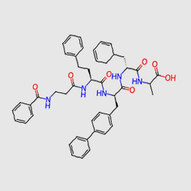 CC(NC(=O)[C@@H](CC1C=CC=CC1)NC(=O)[C@@H](Cc1ccc(-c2ccccc2)cc1)NC(=O)[C@H](CCc1ccccc1)NC(=O)CCNC(=O)c1ccccc1)C(=O)O